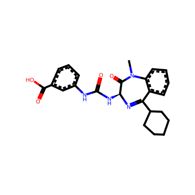 CN1C(=O)[C@H](NC(=O)Nc2cccc(C(=O)O)c2)N=C(C2CCCCC2)c2ccccc21